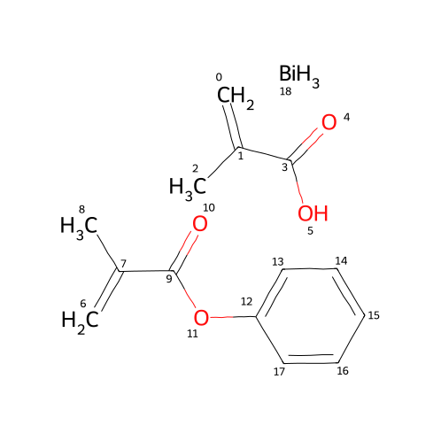 C=C(C)C(=O)O.C=C(C)C(=O)Oc1ccccc1.[BiH3]